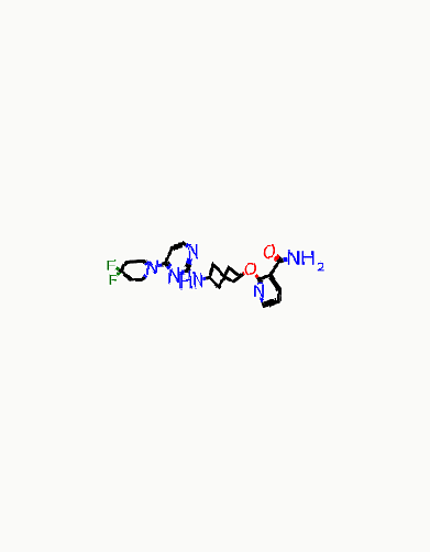 NC(=O)c1cccnc1OC1CC2(CC(Nc3nccc(N4CCC(F)(F)CC4)n3)C2)C1